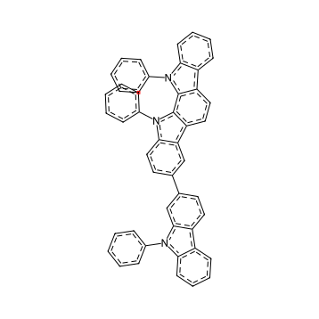 c1ccc(-n2c3ccccc3c3ccc(-c4ccc5c(c4)c4ccc6c7ccccc7n(-c7ccccc7)c6c4n5-c4ccccc4)cc32)cc1